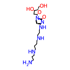 NCCCNCCCCNCCCNc1ccn([C@H]2CC(O)[C@@H](CO)O2)c(=O)n1